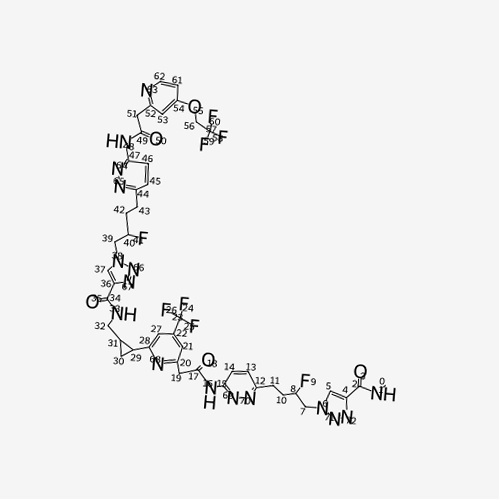 CNC(=O)c1cn(CC(F)CCc2ccc(NC(=O)Cc3cc(C(F)(F)F)cc(C4CC4CNC(=O)c4cn(CC(F)CCc5ccc(NC(=O)Cc6cc(OCC(F)(F)F)ccn6)nn5)nn4)n3)nn2)nn1